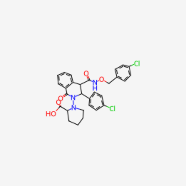 O=C(NOCc1ccc(Cl)cc1)C1c2ccccc2C(=O)N(N2CCCCC2C(=O)O)C1c1ccc(Cl)cc1